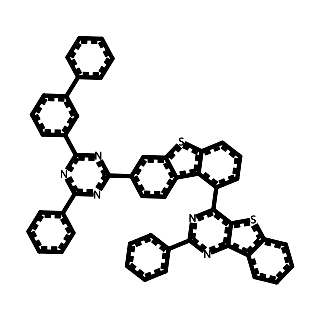 c1ccc(-c2cccc(-c3nc(-c4ccccc4)nc(-c4ccc5c(c4)sc4cccc(-c6nc(-c7ccccc7)nc7c6sc6ccccc67)c45)n3)c2)cc1